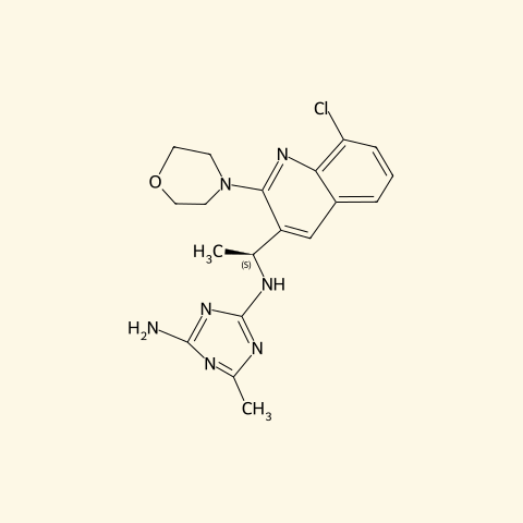 Cc1nc(N)nc(N[C@@H](C)c2cc3cccc(Cl)c3nc2N2CCOCC2)n1